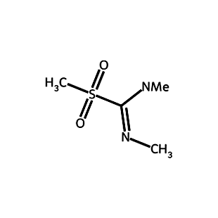 C/N=C(\NC)S(C)(=O)=O